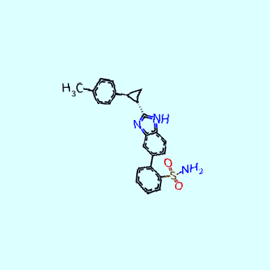 Cc1ccc([C@H]2C[C@@H]2c2nc3cc(-c4ccccc4S(N)(=O)=O)ccc3[nH]2)cc1